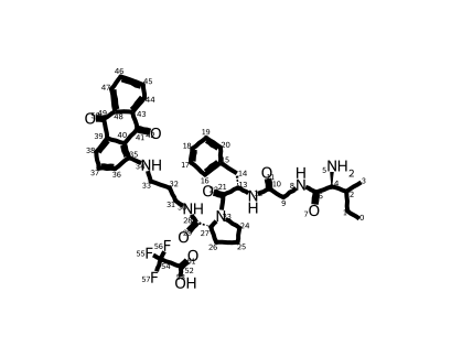 CCC(C)[C@H](N)C(=O)NCC(=O)N[C@@H](Cc1ccccc1)C(=O)N1CCC[C@@H]1C(=O)NCCCNc1cccc2c1C(=O)c1ccccc1C2=O.O=C(O)C(F)(F)F